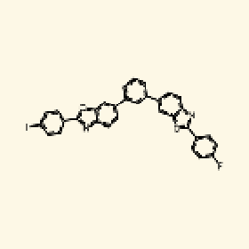 Fc1ccc(-c2nc3ccc(-c4cccc(-c5ccc6nc(-c7ccc(F)cc7)oc6c5)c4)cc3o2)cc1